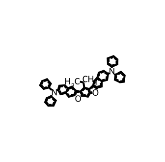 CC(C)c1c2c(cc3oc4cc5cc(N(c6ccccc6)c6ccccc6)ccc5cc4c13)oc1cc3cc(N(c4ccccc4)c4ccccc4)ccc3cc12